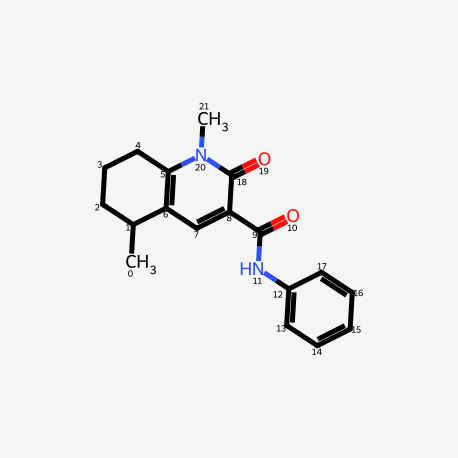 CC1CCCc2c1cc(C(=O)Nc1ccccc1)c(=O)n2C